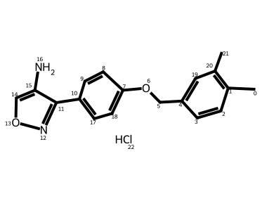 Cc1ccc(COc2ccc(-c3nocc3N)cc2)cc1C.Cl